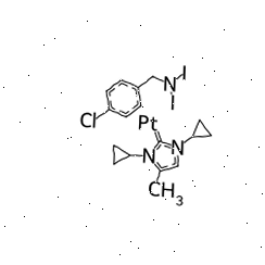 Cc1cn(C2CC2)[c](=[Pt])n1C1CC1.Clc1ccc(CN(I)I)cc1